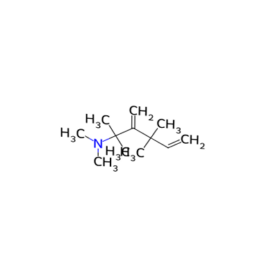 C=CC(C)(C)C(=C)C(C)(C)N(C)C